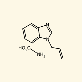 C=CCn1cnc2ccccc21.NC(=O)O